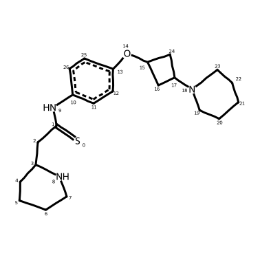 S=C(CC1CCCCN1)Nc1ccc(OC2CC(N3CCCCC3)C2)cc1